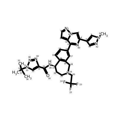 Cn1cc(-c2cn3nccc3c(-c3ccc4c(c3)CN(CC(F)(F)F)CC[C@H]4NC(=O)c3cn(C(C)(C)C)nn3)n2)cn1